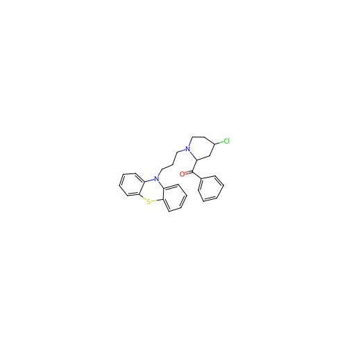 O=C(c1ccccc1)C1CC(Cl)CCN1CCCN1c2ccccc2Sc2ccccc21